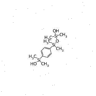 C[Si](C)(O)O[Si](C)(C)c1ccc([Si](C)(C)O)cc1